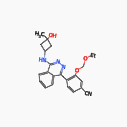 CCOCOc1cc(C#N)ccc1-c1nnc(NC2CC(C)(O)C2)c2ccccc12